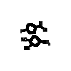 CCNc1ccc(F)cc1.N#Cc1ccc(N)cc1C#N